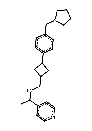 CC(NCC1CC(c2ccc(CN3CCCC3)cc2)C1)c1ccncc1